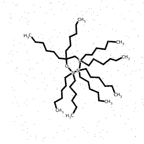 CCCCCCC1(CCCCCC)C[Si](CCCCCC)(CCCCCC)[Si](CCCCCC)(CCCCCC)[Si](CCCCCC)(CCCCCC)O1